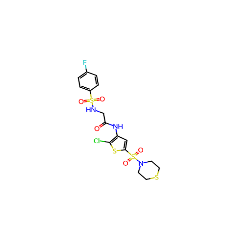 O=C(CNS(=O)(=O)c1ccc(F)cc1)Nc1cc(S(=O)(=O)N2CCSCC2)sc1Cl